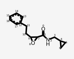 O=C(NCC1CC1)C1OC1CCc1ccccc1